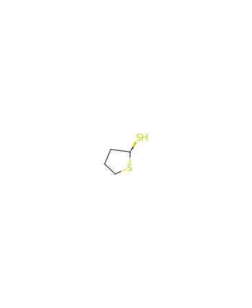 S[C@@H]1CCCS1